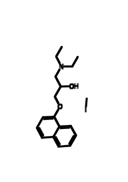 CCN(CC)CC(O)COc1cccc2ccccc12.CI